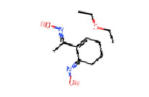 C/C(=N\O)C1=CCCC/C1=N\O.CCOCC